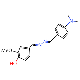 COc1cc(/C=N/N=C/c2ccc(N(C)C)cc2)ccc1O